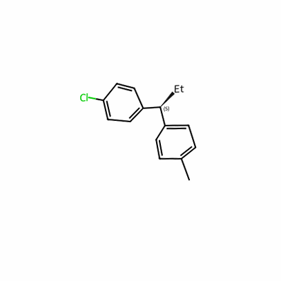 [CH2]C[C@@H](c1ccc(C)cc1)c1ccc(Cl)cc1